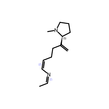 C=C(CC/C=C\N=C/C)[C@@H]1CCCN1C